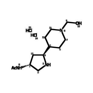 CC(=O)N[C@H]1CN[C@H](C2CCN(CO)CC2)C1.Cl.Cl